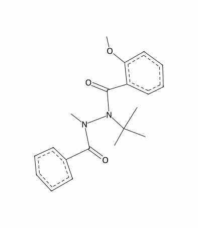 COc1ccccc1C(=O)N(N(C)C(=O)c1ccccc1)C(C)(C)C